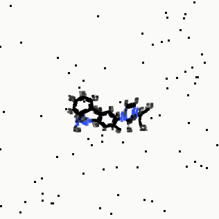 Cc1cc2c(cc1N1C=CN(C(C)C)[C@@H]1C)c1ccccc1n2C